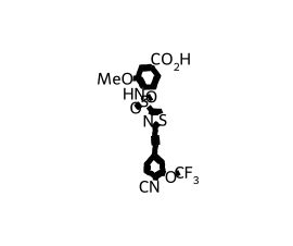 COc1cc(C(=O)O)ccc1NS(=O)(=O)c1csc(C#Cc2ccc(C#N)c(OC(F)(F)F)c2)n1